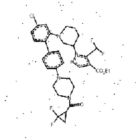 CCOC(=O)c1cnn(C2CCCN(c3cc(Cl)ccc3-c3ccc(N4CCN(C(=O)C5CC5(F)F)CC4)cc3)C2)c1C(F)F